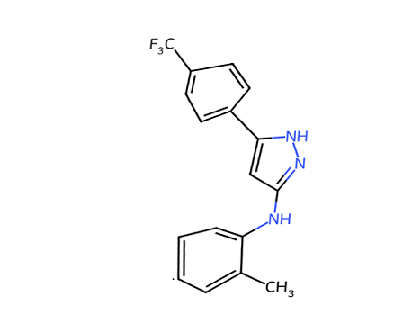 Cc1c[c]ccc1Nc1cc(-c2ccc(C(F)(F)F)cc2)[nH]n1